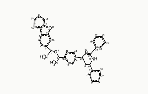 NC(OC(N)c1ccc2c(c1)oc1ccccc12)c1ccc(C2CC(c3ccccc3)NC(c3ccccc3)=N2)cc1